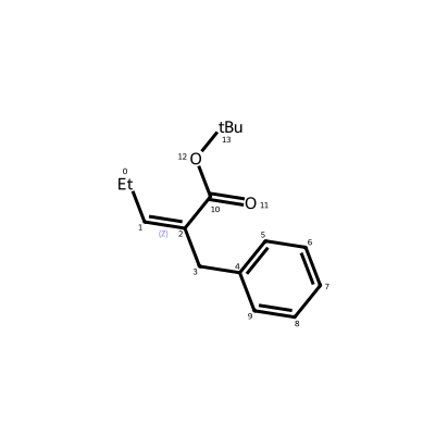 CC/C=C(/Cc1ccccc1)C(=O)OC(C)(C)C